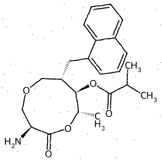 CC(C)C(=O)O[C@@H]1[C@@H](Cc2cccc3ccccc23)COC[C@H](N)C(=O)O[C@H]1C